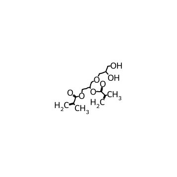 C=C(C)C(=O)OCC(COCC(O)CO)OC(=O)C(=C)C